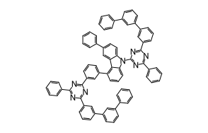 c1ccc(-c2cccc(-c3cccc(-c4nc(-c5ccccc5)nc(-c5cccc(-c6cccc7c6c6cc(-c8ccccc8)ccc6n7-c6nc(-c7ccccc7)nc(-c7cccc(-c8cccc(-c9ccccc9)c8)c7)n6)c5)n4)c3)c2)cc1